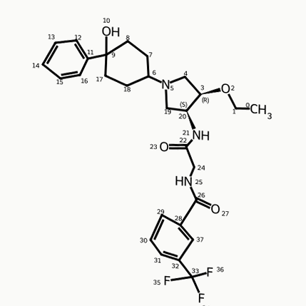 CCO[C@@H]1CN(C2CCC(O)(c3ccccc3)CC2)C[C@@H]1NC(=O)CNC(=O)c1cccc(C(F)(F)F)c1